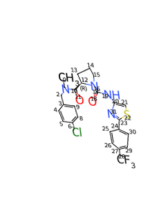 CN(Cc1ccc(Cl)cc1)C(=O)[C@H]1CCCN1C(=O)Nc1csc(-c2ccc(C(F)(F)F)cc2)n1